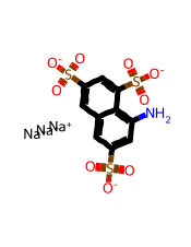 Nc1cc(S(=O)(=O)[O-])cc2cc(S(=O)(=O)[O-])cc(S(=O)(=O)[O-])c12.[Na+].[Na+].[Na+]